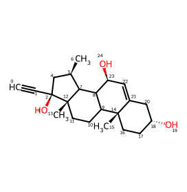 C#C[C@]1(O)C[C@@H](C)C2C3C(CC[C@@]21C)[C@@]1(C)CC[C@@H](O)CC1=C[C@@H]3O